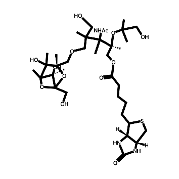 CC(=O)NC(C)(C(C)(CO)COC[C@]1(C)OC2(CO)OC(C)(C1(C)O)[C@@]2(C)O)[C@](C)(COC(=O)CCCCC1SC[C@@H]2NC(=O)N[C@H]12)OC(C)(C)CO